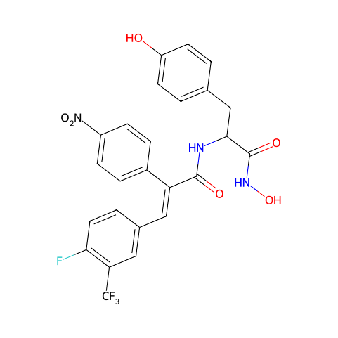 O=C(NC(Cc1ccc(O)cc1)C(=O)NO)C(=Cc1ccc(F)c(C(F)(F)F)c1)c1ccc([N+](=O)[O-])cc1